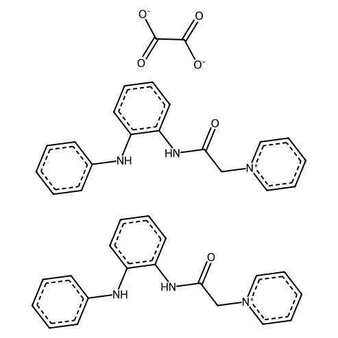 O=C(C[n+]1ccccc1)Nc1ccccc1Nc1ccccc1.O=C(C[n+]1ccccc1)Nc1ccccc1Nc1ccccc1.O=C([O-])C(=O)[O-]